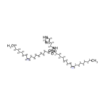 CCCCCCCC/C=C\CCCCCCCCOP(=O)(NCCc1c[nH]cn1)OCCCCCCCC/C=C\CCCCCCCC